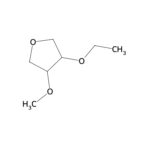 CCOC1COCC1OC